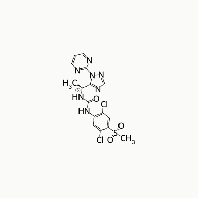 C[C@H](NC(=O)Nc1cc(Cl)c(S(C)(=O)=O)cc1Cl)c1ncnn1-c1ncccn1